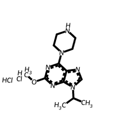 COc1nc(N2CCNCC2)c2ncn(C(C)C)c2n1.Cl.Cl